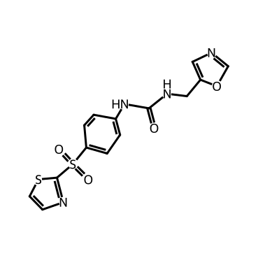 O=C(NCc1cnco1)Nc1ccc(S(=O)(=O)c2nccs2)cc1